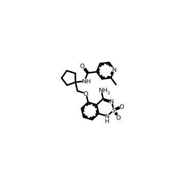 Cc1cc(C(=O)NC2(COc3cccc4c3C(N)=NS(=O)(=O)N4)CCCC2)ccn1